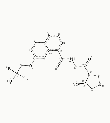 CC(F)(F)COc1ccc2nccc(C(=O)NCC(=O)N3CSC[C@H]3C#N)c2c1